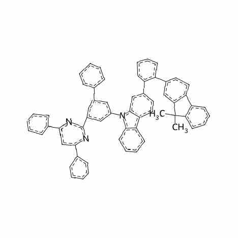 CC1(C)c2ccccc2-c2ccc(-c3ccccc3-c3ccc4c5ccccc5n(-c5cc(-c6ccccc6)cc(-c6nc(-c7ccccc7)cc(-c7ccccc7)n6)c5)c4c3)cc21